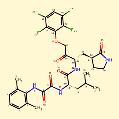 Cc1cccc(C)c1NC(=O)C(=O)N[C@@H](CC(C)C)C(=O)N[C@@H](C[C@@H]1CCNC1=O)C(=O)COc1c(F)c(F)cc(F)c1F